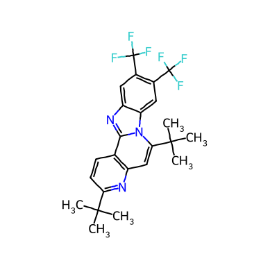 CC(C)(C)c1ccc2c(cc(C(C)(C)C)n3c4cc(C(F)(F)F)c(C(F)(F)F)cc4nc23)n1